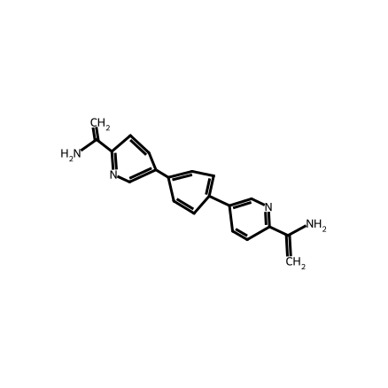 C=C(N)c1ccc(-c2ccc(-c3ccc(C(=C)N)nc3)cc2)cn1